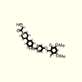 COc1cc(OC)c(F)c(COc2cnc(Nc3ccc(C4CCN(C(=O)CO)CC4)cc3)nc2)c1F